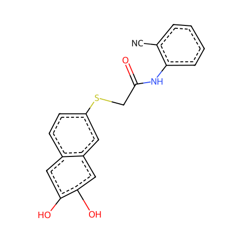 N#Cc1ccccc1NC(=O)CSc1ccc2cc(O)c(O)cc2c1